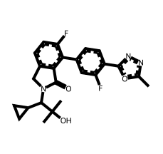 Cc1nnc(-c2ccc(-c3c(F)ccc4c3C(=O)N(C(C3CC3)C(C)(C)O)C4)cc2F)o1